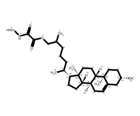 CCCCCCNC(=O)C(=O)OCC(C)CCCC(C)[C@H]1CC[C@H]2[C@@H]3CC=C4C[C@@H](O)CC[C@]4(C)[C@H]3CC[C@]12C